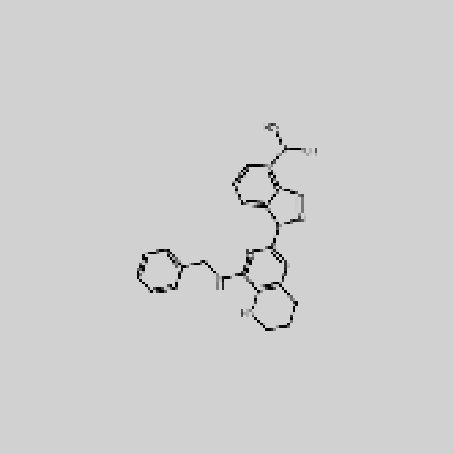 OB(O)c1cccc2c1cnn2-c1nc2c(c(NCc3ccccc3)n1)NCCC2